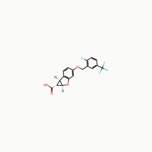 O=C(O)[C@H]1[C@@H]2Oc3cc(OCc4cc(C(F)(F)F)ccc4F)ccc3[C@@H]21